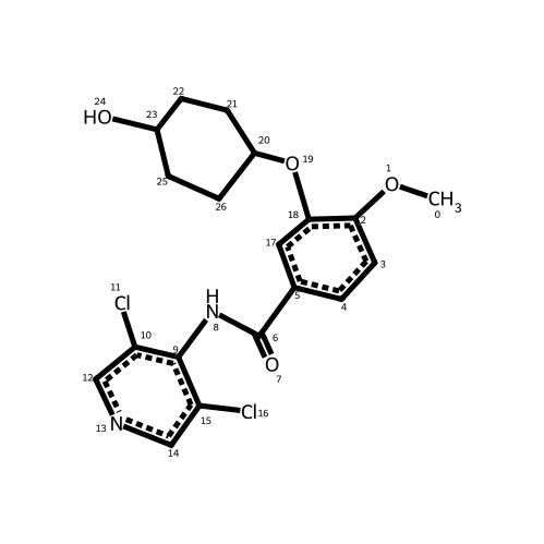 COc1ccc(C(=O)Nc2c(Cl)cncc2Cl)cc1OC1CCC(O)CC1